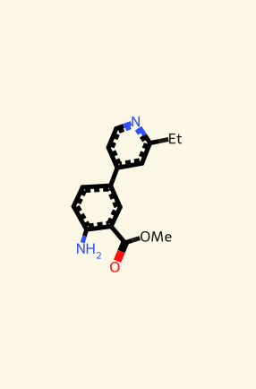 CCc1cc(-c2ccc(N)c(C(=O)OC)c2)ccn1